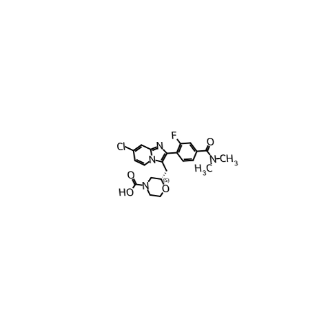 CN(C)C(=O)c1ccc(-c2nc3cc(Cl)ccn3c2C[C@H]2CN(C(=O)O)CCO2)c(F)c1